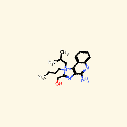 CCCC[N+]1(CC(C)C)C(CO)=Nc2c(N)nc3ccccc3c21